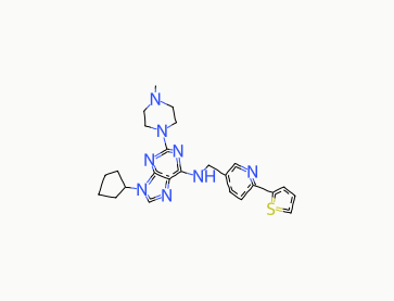 CN1CCN(c2nc(NCc3ccc(-c4cccs4)nc3)c3ncn(C4CCCC4)c3n2)CC1